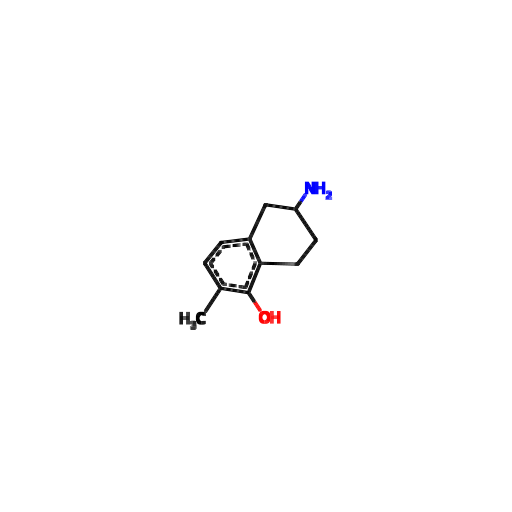 Cc1ccc2c(c1O)CCC(N)C2